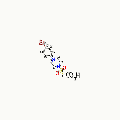 O=C(O)CS(=O)(=O)N1CCN(c2ccc(Br)cc2)CC1